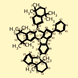 CC1(C)CCC(C)(C)c2cc(N3c4cc5c(cc4B4c6cc(N7c8ccccc8C8(C)CCCCC78C)ccc6-c6cc(-c7ccccc7)cc3c64)C(C)(C)CCC5(C)C)ccc21